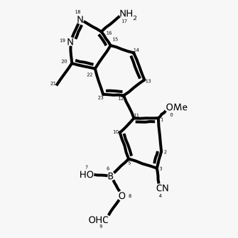 COc1cc(C#N)c(B(O)OC=O)cc1-c1ccc2c(N)nnc(C)c2c1